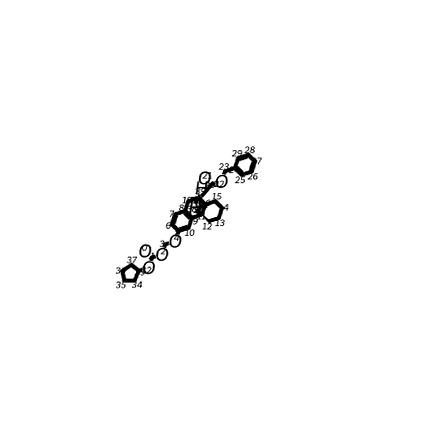 O=C(OCOc1ccc2c(c1)[C@@]13CCCC[C@H]1[C@@H](C2)N(C(=O)OCc1ccccc1)CC3)OC1CCCC1